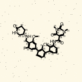 COc1cc(-c2cccc(-c3cccc(NC(=O)c4cn(C)c(=O)n(C)c4=O)c3Cl)c2C)cc(F)c1CN[C@H]1CCC(=O)NC1